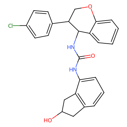 O=C(Nc1cccc2c1CC(O)C2)NC1c2ccccc2OCC1c1ccc(Cl)cc1